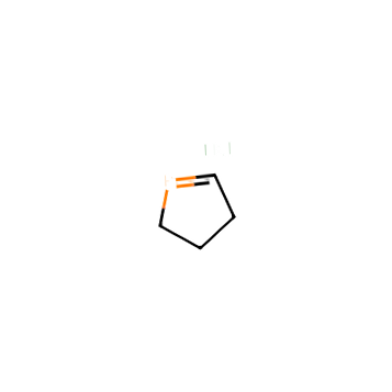 C1=PCCC1.Cl